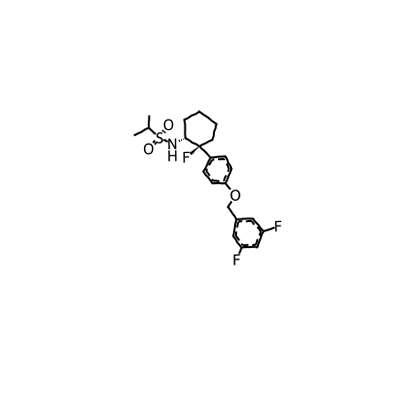 CC(C)S(=O)(=O)N[C@@H]1CCCC[C@]1(F)c1ccc(OCc2cc(F)cc(F)c2)cc1